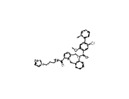 COc1cc(-c2ccccc2C)c(Cl)cc1C(=O)N1Cc2ccc(C(=O)NCCCn3ccnc3)n2Cc2ccccc21